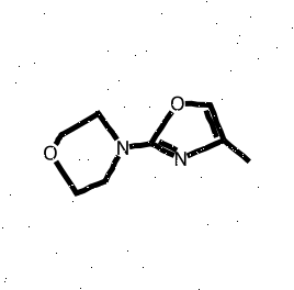 Cc1coc(N2CCOCC2)n1